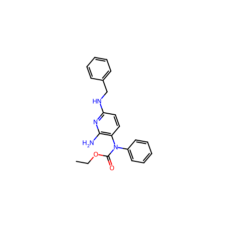 CCOC(=O)N(c1ccccc1)c1ccc(NCc2ccccc2)nc1N